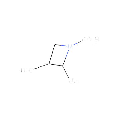 CC1CN(C(=O)O)C1C(C)(C)C